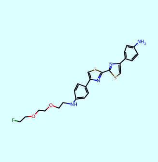 Nc1ccc(-c2csc(-c3nc(-c4ccc(NCCOCCOCCF)cc4)cs3)n2)cc1